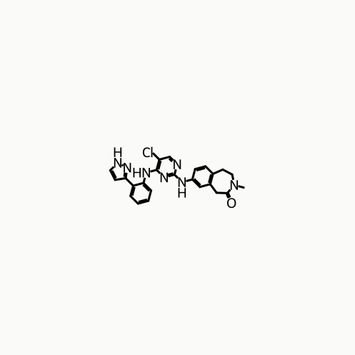 CN1CCc2ccc(Nc3ncc(Cl)c(Nc4ccccc4-c4cc[nH]n4)n3)cc2CC1=O